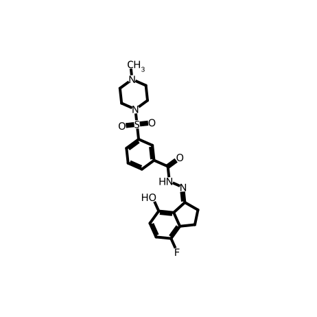 CN1CCN(S(=O)(=O)c2cccc(C(=O)N/N=C3/CCc4c(F)ccc(O)c43)c2)CC1